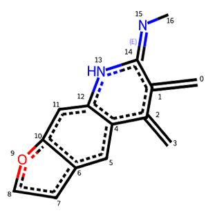 C=c1c(=C)c2cc3ccoc3cc2[nH]/c1=N/C